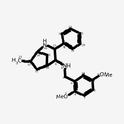 COc1ccc(OC)c(CNC2C3CC(C)C(C3)NC2c2ccccc2)c1